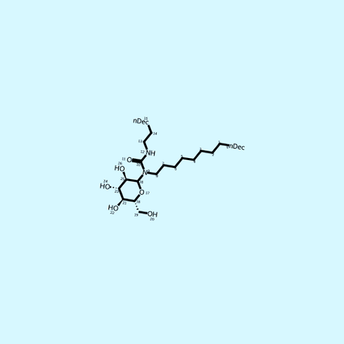 CCCCCCCCCCCCCCCCCCN(C(=O)NCCCCCCCCCCCC)C1O[C@H](CO)[C@@H](O)[C@H](O)[C@H]1O